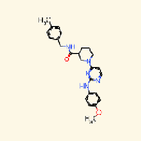 COc1ccc(Nc2nccc(N3CCC[C@H](C(=O)NCc4ccc(C)cc4)C3)n2)cc1